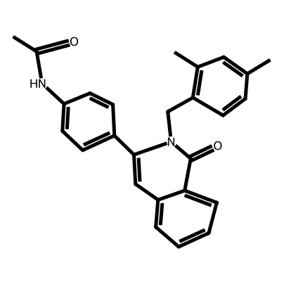 CC(=O)Nc1ccc(-c2cc3ccccc3c(=O)n2Cc2ccc(C)cc2C)cc1